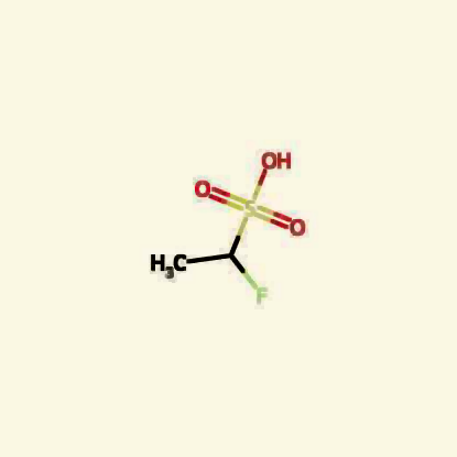 CC(F)S(=O)(=O)O